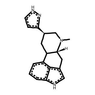 CN1C[C@H](c2cc[nH]n2)CC2c3cccc4[nH]cc(c34)C[C@H]21